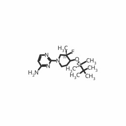 CC(C)(C)[Si](C)(C)OC1CCN(c2nccc(N)n2)C[C@]1(C)F